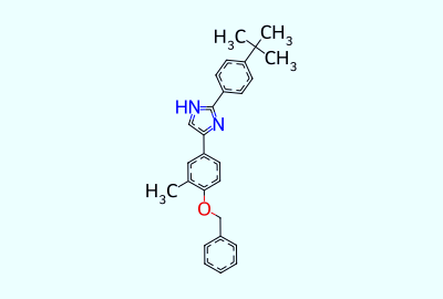 Cc1cc(-c2c[nH]c(-c3ccc(C(C)(C)C)cc3)n2)ccc1OCc1ccccc1